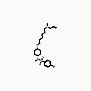 C=CCN(C)CCCCCCO[C@H]1CC[C@H](N(C)S(=O)(=O)c2ccc(Br)cc2)CC1